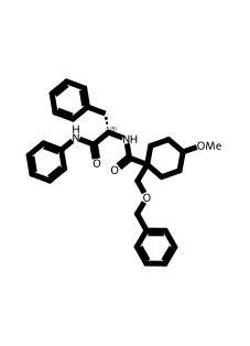 COC1CCC(COCc2ccccc2)(C(=O)N[C@@H](Cc2ccccc2)C(=O)Nc2ccccc2)CC1